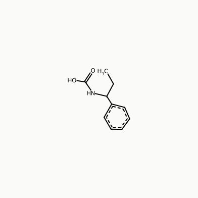 CC[C](NC(=O)O)c1ccccc1